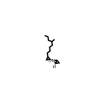 CCCC(C)CCCCC1C[C@@H]1N1C2C[C@H]21